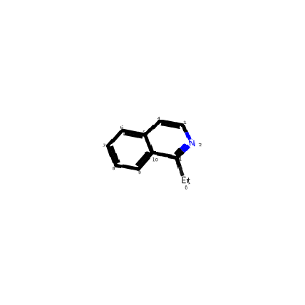 CCc1nccc2c[c]ccc12